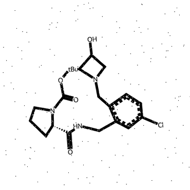 CC(C)(C)OC(=O)N1CCC[C@H]1C(=O)NCc1cc(Cl)ccc1CN1CC(O)C1